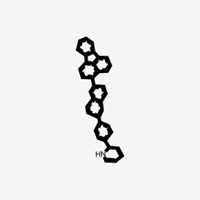 C1=CNC(c2ccc(-c3ccc4cc(-c5ccc6c7c(cccc57)-c5ccccc5-6)ccc4c3)cc2)C=C1